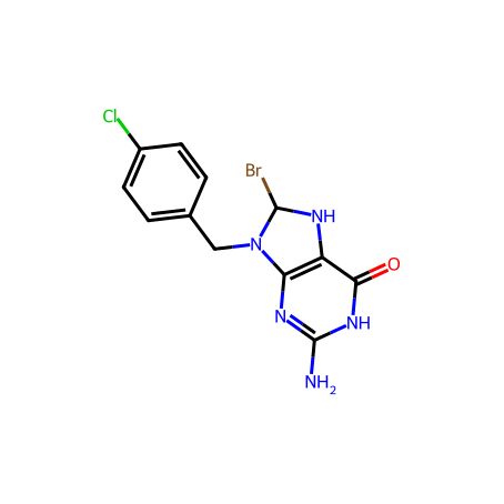 Nc1nc2c(c(=O)[nH]1)NC(Br)N2Cc1ccc(Cl)cc1